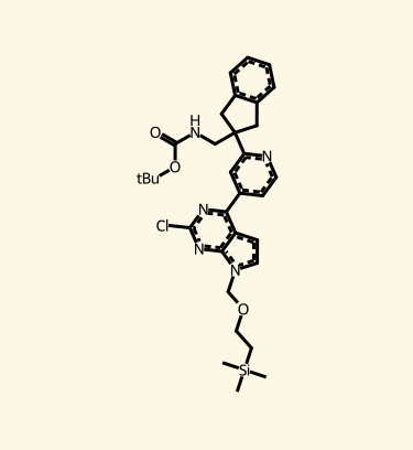 CC(C)(C)OC(=O)NCC1(c2cc(-c3nc(Cl)nc4c3ccn4COCC[Si](C)(C)C)ccn2)Cc2ccccc2C1